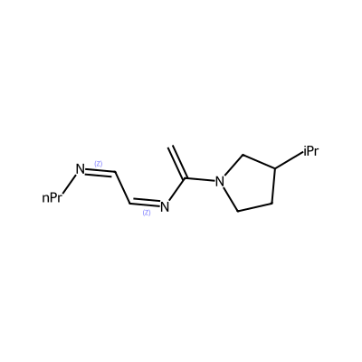 C=C(/N=C\C=N/CCC)N1CCC(C(C)C)C1